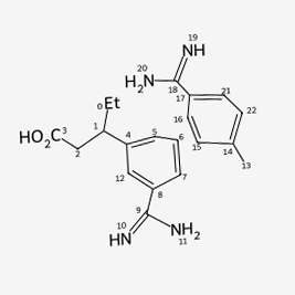 CCC(CC(=O)O)c1cccc(C(=N)N)c1.Cc1ccc(C(=N)N)cc1